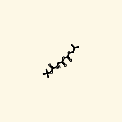 CC(C)COC(=O)OC(=O)CNC(=O)OC(C)(C)C